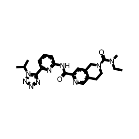 CCN(C)C(=O)N1CCc2cnc(C(=O)Nc3cccc(-c4nnnn4C(C)C)n3)cc2C1